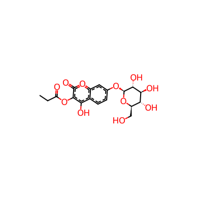 CCC(=O)Oc1c(O)c2ccc(O[C@@H]3O[C@H](CO)[C@@H](O)[C@H](O)[C@H]3O)cc2oc1=O